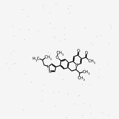 COc1cc2c(cc1-c1cnn(CC(C)C)c1)CC(C(C)C)n1cc(C(C)=O)c(=O)cc1-2